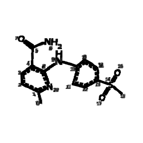 Cc1ccc(C(N)=O)c(Nc2ccc(S(C)(=O)=O)cc2)n1